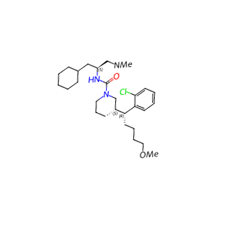 CNC[C@H](CC1CCCCC1)NC(=O)N1CCC[C@@H]([C@@H](CCCCOC)c2ccccc2Cl)C1